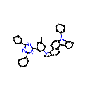 Cc1cc(-c2nc(-c3ccccc3)nc(-c3ccccc3)n2)cc(-n2ccc3ccc4c(ccc5c4c4ccccc4n5-c4ccccc4)c32)c1